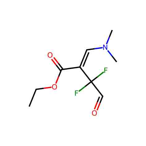 CCOC(=O)C(=CN(C)C)C(F)(F)C=O